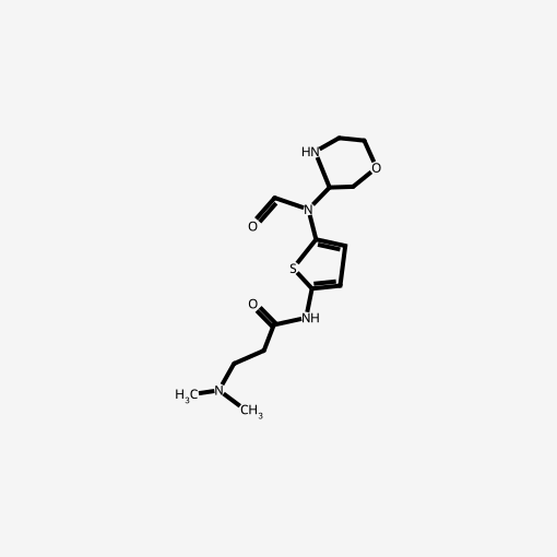 CN(C)CCC(=O)Nc1ccc(N(C=O)C2COCCN2)s1